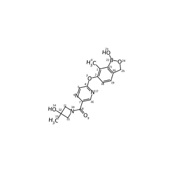 Cc1c(Oc2cnc(C(=O)N3CC(C)(O)C3)cn2)ccc2c1B(O)OC2